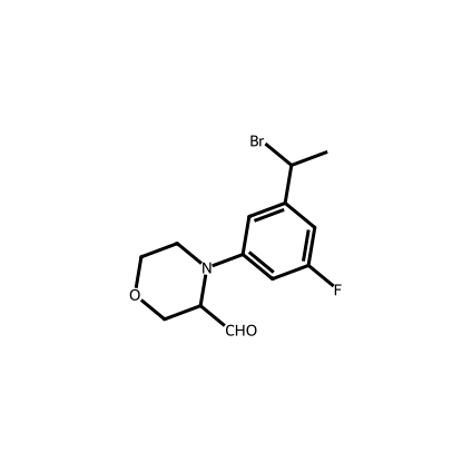 CC(Br)c1cc(F)cc(N2CCOCC2C=O)c1